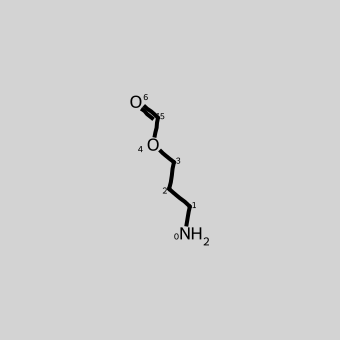 NCCCO[C]=O